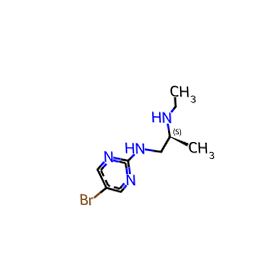 CCN[C@@H](C)CNc1ncc(Br)cn1